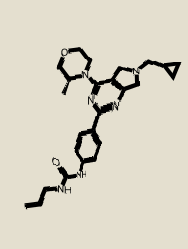 CCCNC(=O)Nc1ccc(-c2nc3c(c(N4CCOC[C@@H]4C)n2)CN(CC2CC2)C3)cc1